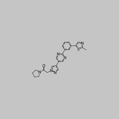 Cc1ncc(-c2cccc(-c3ncc(-c4cnn(CC(=O)N5CCCC5)c4)cn3)c2)s1